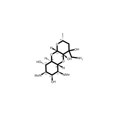 CN[C@@H]1[C@H](O)[C@H](NC)[C@H]2O[C@]3(O)[C@H](O[C@@H]2[C@H]1O)O[C@H](C)CC3(O)CN